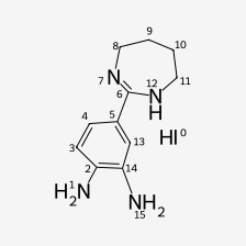 I.Nc1ccc(C2=NCCCCN2)cc1N